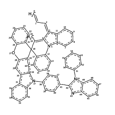 C=C/C=c1\c2n(c3ccccc13)-c1ccccc1C1(C=2C)c2ccccc2Oc2cc3c4ccccc4n(-c4ccc(-c5nc6ccccc6n5-c5ccccc5)cc4)c3cc21